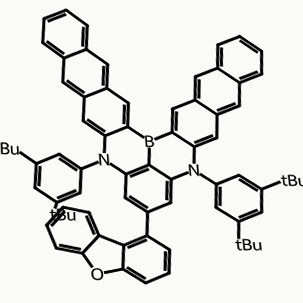 CC(C)(C)c1cc(N2c3cc4cc5ccccc5cc4cc3B3c4cc5cc6ccccc6cc5cc4N(c4cc(C(C)(C)C)cc(C(C)(C)C)c4)c4cc(-c5cccc6oc7ccccc7c56)cc2c43)cc(C(C)(C)C)c1